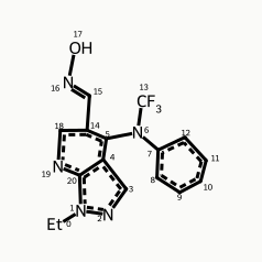 CCn1ncc2c(N(c3ccccc3)C(F)(F)F)c(C=NO)cnc21